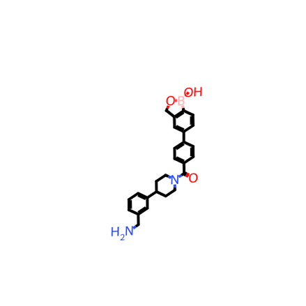 NCc1cccc(C2CCN(C(=O)c3ccc(-c4ccc5c(c4)COB5O)cc3)CC2)c1